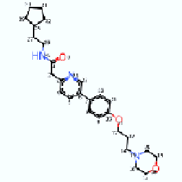 O=C(Cc1ccc(-c2ccc(OCCCN3CCOCC3)cc2)cn1)NCCC1CCCC1